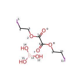 O=C(OCCI)C(=O)OCCI.OB(O)O